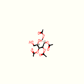 CC(=O)OC[C@H](OC(C)=O)C(OC(C)=O)C(OC(C)=O)[C@H](O)CO